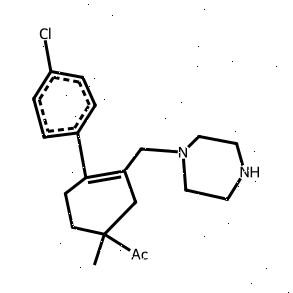 CC(=O)C1(C)CCC(c2ccc(Cl)cc2)=C(CN2CCNCC2)C1